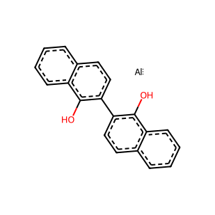 Oc1c(-c2ccc3ccccc3c2O)ccc2ccccc12.[Al]